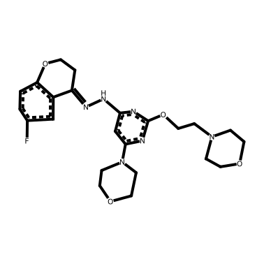 Fc1ccc2c(c1)C(=NNc1cc(N3CCOCC3)nc(OCCN3CCOCC3)n1)CCO2